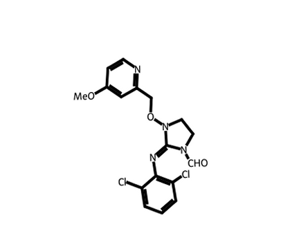 COc1ccnc(CON2CCN(C=O)C2=Nc2c(Cl)cccc2Cl)c1